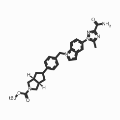 Cc1nc(C(N)=O)nn1-c1ccc2c(ccn2Cc2ccc(C3C[C@@H]4CN(C(=O)OC(C)(C)C)C[C@@H]4C3)cc2)c1